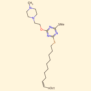 CCCCCCCC/C=C\CCCCCCCCSc1nc(OCCN2CCN(C)CC2)nc(SC)n1